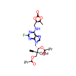 C#CC(COC(=O)C(C)C)(OC)[C@H](Cn1cnc2c(NCc3oc(=O)oc3C)nc(F)nc21)OC(=O)C(C)C